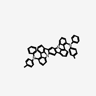 Cc1ccc(N(c2ccccc2)c2cccc3c2c2cccc4c5cc6c(cc5n3c42)c2cccc3c4c(N(c5ccccc5)c5ccc(C)cc5)cccc4n6c23)cc1